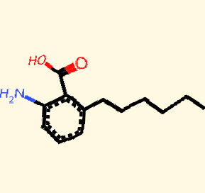 CCCCCCc1cccc(N)c1C(=O)O